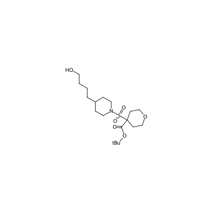 CC(C)(C)OC(=O)C1(S(=O)(=O)N2CCC(CCCCO)CC2)CCOCC1